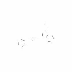 CCCn1cc(CCNCc2cccc(C)n2)c2c(O)c(F)ccc21